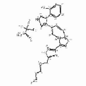 COCCOCc1nc(-c2cnc3ccc(-c4c[nH]nc4-c4ccccc4F)cn23)no1.O=C(O)C(F)(F)F